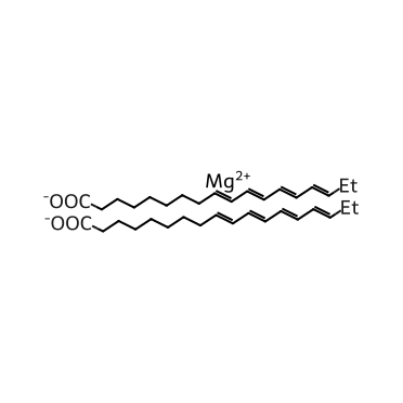 CCC=CC=CC=CC=CCCCCCCCC(=O)[O-].CCC=CC=CC=CC=CCCCCCCCC(=O)[O-].[Mg+2]